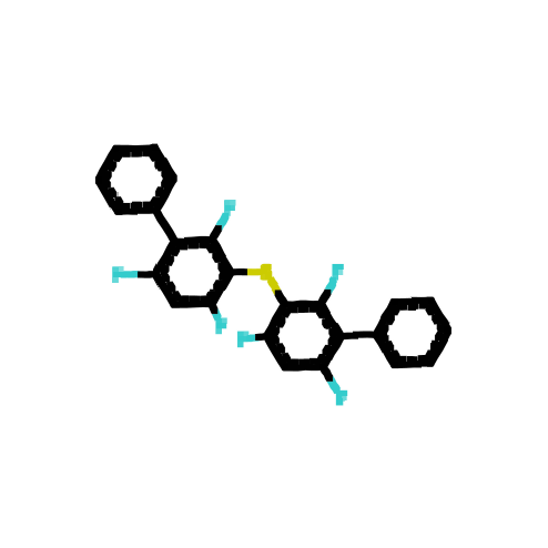 Fc1cc(F)c(-c2ccccc2)c(F)c1Sc1c(F)cc(F)c(-c2ccccc2)c1F